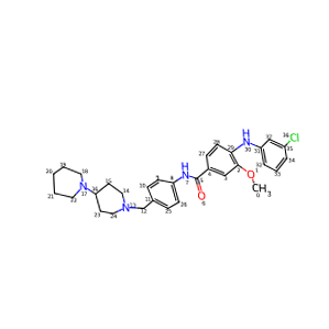 COc1cc(C(=O)Nc2ccc(CN3CCC(N4CCCCC4)CC3)cc2)ccc1Nc1cccc(Cl)c1